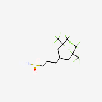 NS(=O)(=O)CCCC(CC(F)(C(F)(F)F)C(F)(F)F)CC(F)(C(F)(F)F)C(F)(F)F